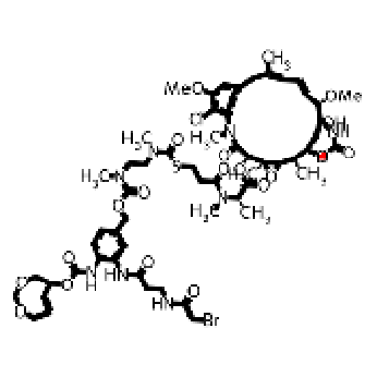 COc1cc2cc(c1Cl)N(C)C(=O)[C@H](OC(=O)[C@H](C)N(C)C(=O)CCSC(=O)N(C)CCN(C)C(=O)OCc1ccc(NC(=O)OC3/C=C/COCOC3)c(NC(=O)CCNC(=O)CBr)c1)[C@]1(C)OC1[C@H](C)[C@@H]1C[C@@](O)(NC(=O)O1)[C@H](OC)/C=C/C=C(\C)C2